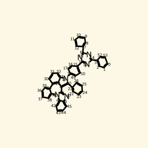 c1ccc(-c2nc(-c3ccccc3)nc(-c3ccc(-n4c(-c5ccccc5)c5c6c(cccc64)c4ccccc4n4c6ccccc6nc54)cc3)n2)cc1